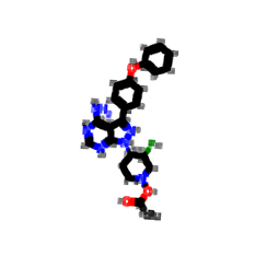 CC(C)(C)C(=O)ON1CC[C@H](n2nc(-c3ccc(Oc4ccccc4)cc3)c3c(N)ncnc32)[C@@H](F)C1